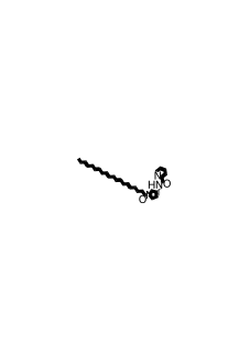 CCC=CCC=CCC=CCC=CCC=CCCCC(=O)N1CC[C@@H](CNC(=O)c2ccccn2)C1